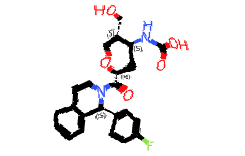 O=C(O)N[C@H]1C[C@H](C(=O)N2CCc3ccccc3[C@@H]2c2ccc(F)cc2)OC[C@@H]1CO